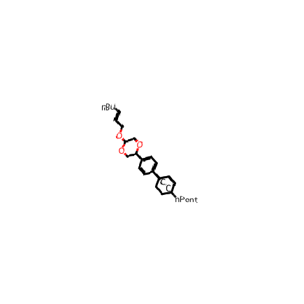 CCCC/C=C/COC1COC(c2ccc(C34CCC(CCCCC)(CC3)CC4)cc2)CO1